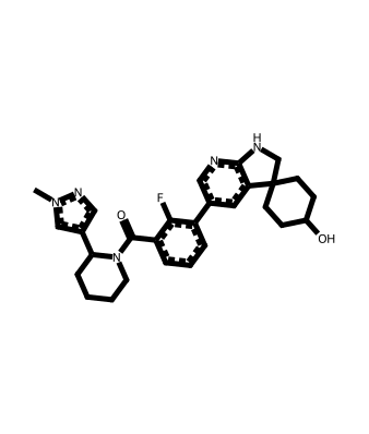 Cn1cc(C2CCCCN2C(=O)c2cccc(-c3cnc4c(c3)C3(CCC(O)CC3)CN4)c2F)cn1